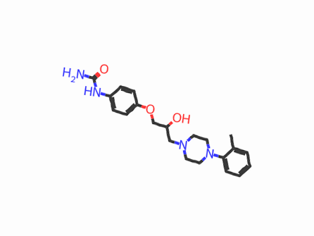 Cc1ccccc1N1CCN(CC(O)COc2ccc(NC(N)=O)cc2)CC1